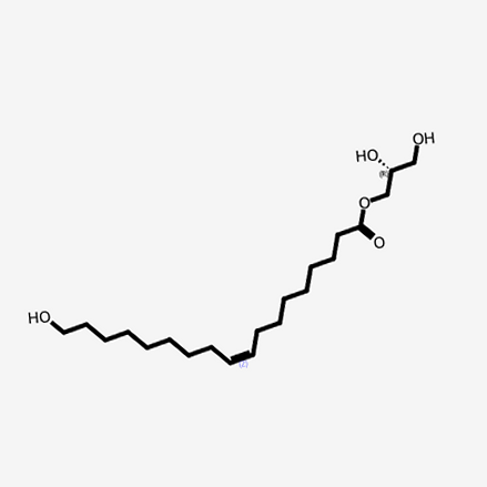 O=C(CCCCCCC/C=C\CCCCCCCCO)OC[C@H](O)CO